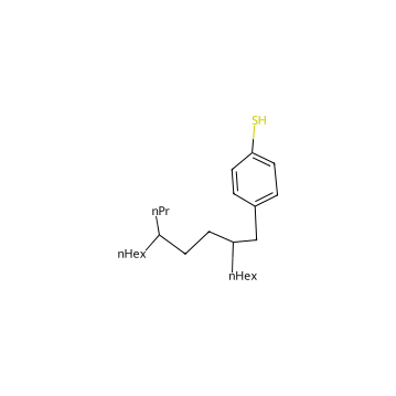 CCCCCCC(CCC)CCC(CCCCCC)Cc1ccc(S)cc1